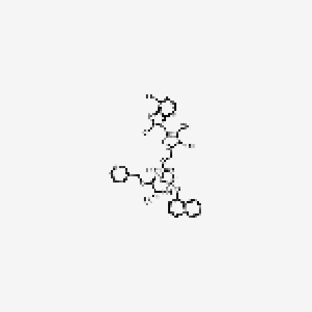 C[C@H](NP(=O)(Oc1cccc2ccccc12)OP(=O)(O)OC[C@H]1O[C@@H](n2c(Cl)nc3c(N)ncnc32)[C@@H](O)C1O)C(=O)OCc1ccccc1